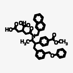 COC(=O)c1ccc(C(Cc2cccc(COc3ccccc3)c2)C(C)N(Cc2ccc3ccccc3c2)C(=O)CC(CC(=O)O)C(=O)O)cc1